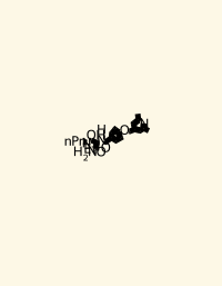 CCCN(CC)C(O)[C@H](NC(=O)c1ccc(OCc2cc(C)nc(C)c2)cc1)C(N)=O